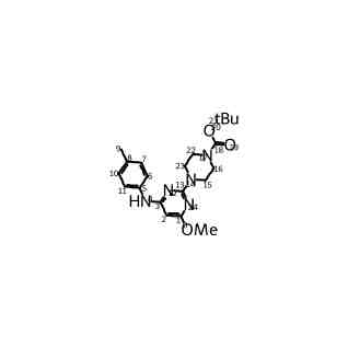 COc1cc(Nc2ccc(C)cc2)nc(N2CCN(C(=O)OC(C)(C)C)CC2)n1